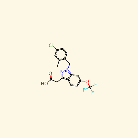 Cc1cc(Cl)ccc1Cn1nc(CC(=O)O)c2ccc(OC(F)(F)F)cc21